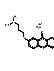 CN(C)CCCOc1ccc2sc3ccccc3c(=O)c2c1.Cl.O